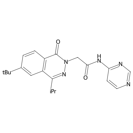 CC(C)c1nn(CC(=O)Nc2ccncn2)c(=O)c2ccc(C(C)(C)C)cc12